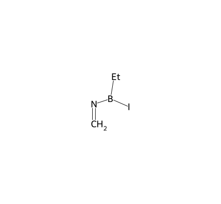 C=NB(I)CC